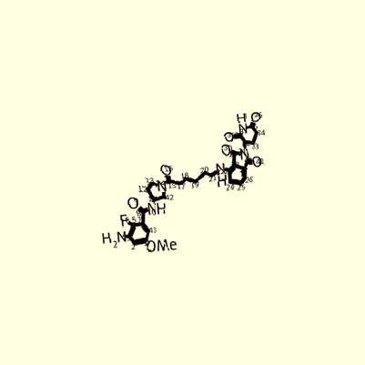 COc1cc(N)c(F)c(C(=O)N[C@H]2CCN(C(=O)CCCCCNc3cccc4c3C(=O)N(C3CCC(=O)NC3=O)C4=O)C2)c1